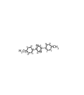 Cc1ccc(-c2cnc(-c3ccc(C)cc3)cn2)cc1